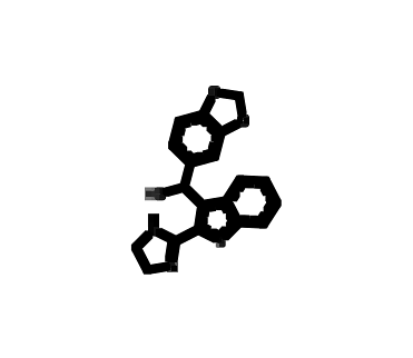 OC(c1ccc2c(c1)OCO2)c1c(C2=NCCN2)sc2ccccc12